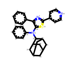 c1ccc(-c2nc(-c3ccncc3)sc2N(c2ccccc2)C2C3CC4CC(C3)CC2C4)cc1